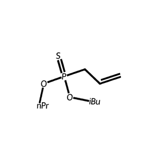 C=CCP(=S)(OCCC)OC(C)CC